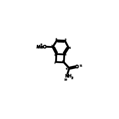 COc1cccc2c1CC2C(N)=O